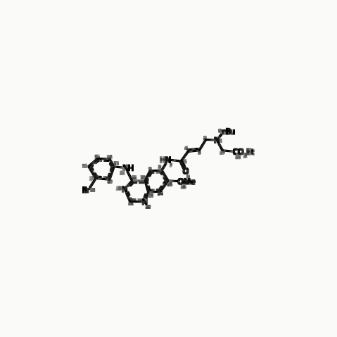 CCCCN(CC=CC(=O)Nc1cc2c(Nc3cccc(Br)c3)ncnc2cc1OC)CC(=O)OCC